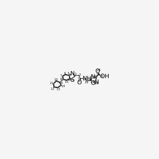 O=C(Cc1nc2ccc(-c3ccccc3)cc2s1)NCc1nc(C(=O)O)no1